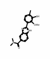 COc1c(-c2nc3cc(C(=O)N(C)C)ccc3[nH]2)ccc(C)c1S